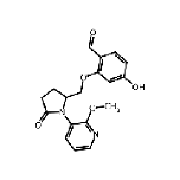 COc1ncccc1N1C(=O)CCC1COc1cc(O)ccc1C=O